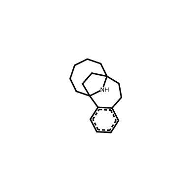 c1ccc2c(c1)CCC13CCCCCC2(CC1)N3